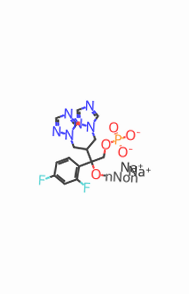 CCCCCCCCCOC(COP(=O)([O-])[O-])(c1ccc(F)cc1F)C(Cn1cncn1)Cn1cncn1.[Na+].[Na+]